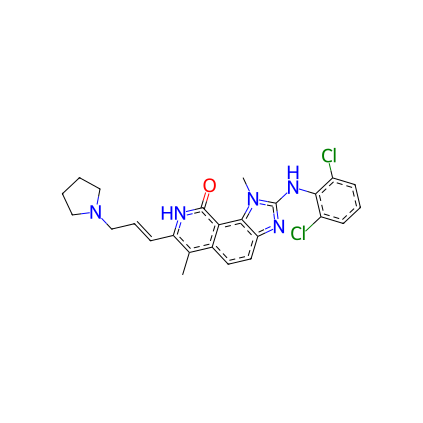 Cc1c(C=CCN2CCCC2)[nH]c(=O)c2c1ccc1nc(Nc3c(Cl)cccc3Cl)n(C)c12